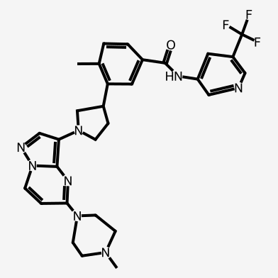 Cc1ccc(C(=O)Nc2cncc(C(F)(F)F)c2)cc1C1CCN(c2cnn3ccc(N4CCN(C)CC4)nc23)C1